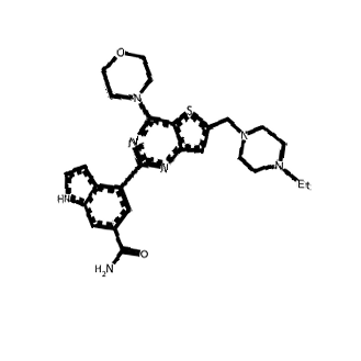 CCN1CCN(Cc2cc3nc(-c4cc(C(N)=O)cc5[nH]ccc45)nc(N4CCOCC4)c3s2)CC1